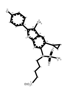 CCOC(=O)CCCCN(c1nc2oc(-c3ccc(Cl)cc3)c(C)c2cc1C1CC1)S(C)(=O)=O